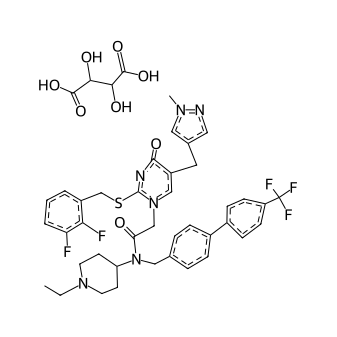 CCN1CCC(N(Cc2ccc(-c3ccc(C(F)(F)F)cc3)cc2)C(=O)Cn2cc(Cc3cnn(C)c3)c(=O)nc2SCc2cccc(F)c2F)CC1.O=C(O)C(O)C(O)C(=O)O